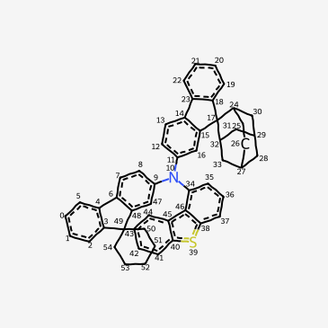 c1ccc2c(c1)-c1ccc(N(c3ccc4c(c3)C3(c5ccccc5-4)C4CCC5CC(C4)CC3C5)c3cccc4sc5ccccc5c34)cc1C21CCCCC1